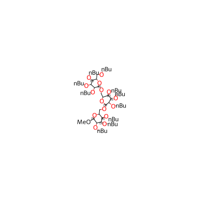 CCCCOCC1O[C@H](OCC2O[C@H](OCC3O[C@H](OC)C(OCCCC)[C@@H](OCCCC)[C@@H]3OCCCC)C(OCCCC)[C@@H](OCCCC)[C@@H]2OCCCC)C(OCCCC)C(OCCCC)[C@@H]1OCCCC